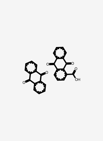 O=C(O)c1cccc2c1C(=O)c1ccccc1C2=O.O=C1c2ccccc2C(=O)c2ccccc21